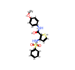 CC(C)Oc1ccc(NC(=O)c2sccc2NS(=O)(=O)c2ccccc2)cc1